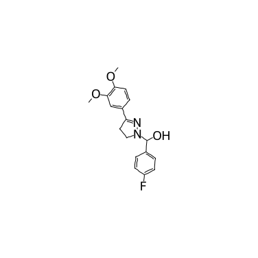 COc1ccc(C2=NN(C(O)c3ccc(F)cc3)CC2)cc1OC